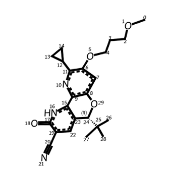 COCCCOc1cc2c(nc1C1CC1)-c1[nH]c(=O)c(C#N)cc1[C@@H](C(C)(C)C)O2